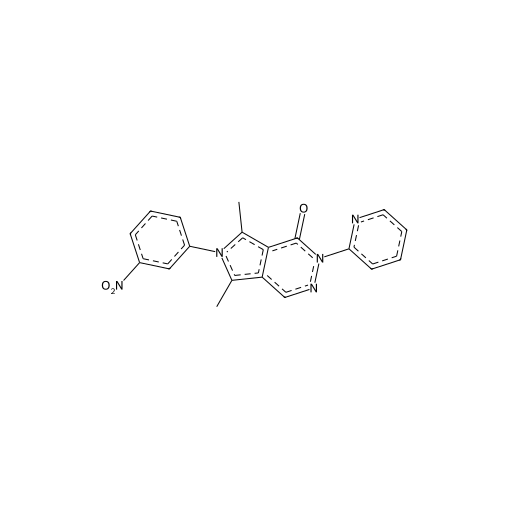 Cc1c2cnn(-c3ccccn3)c(=O)c2c(C)n1-c1cccc([N+](=O)[O-])c1